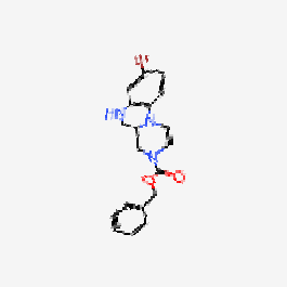 O=C(OCc1ccccc1)N1CCN2c3ccc(Br)cc3NCC2C1